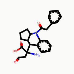 NC(CC=O)(C(=O)O)C1c2ccccc2N(C(=O)Cc2ccccc2)C2CCCC21